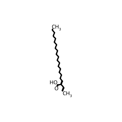 CC=CC(=CCCCCCCCCCCCCCCCCCC)C(=O)O